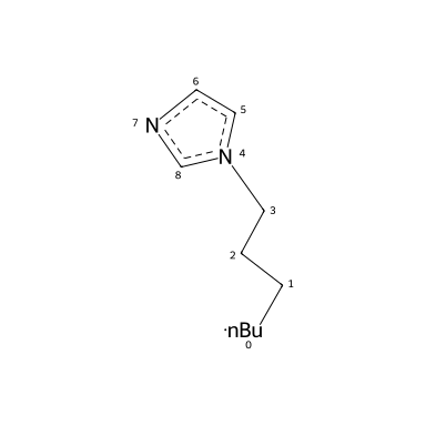 CCC[CH]CCCn1ccnc1